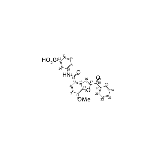 COc1ccc(C(=O)Nc2cccc(C(=O)O)c2)c2cc(C(=O)c3ccccc3)oc12